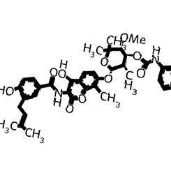 CO[C@@H]1[C@@H](OC(=O)Nc2ccccc2)[C@@H](C)[C@H](Oc2ccc3c(O)c(NC(=O)c4ccc(O)c(CC=C(C)C)c4)c(=O)oc3c2C)OC1(C)C